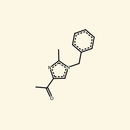 CC(=O)c1cn(Cc2ccccc2)c(C)n1